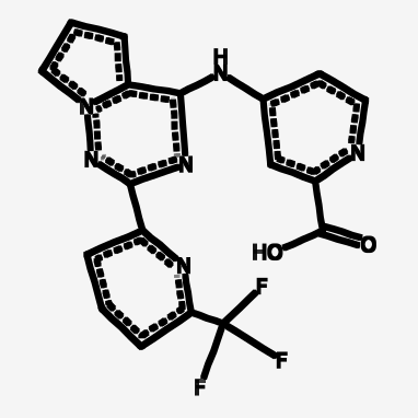 O=C(O)c1cc(Nc2nc(-c3cccc(C(F)(F)F)n3)nn3cccc23)ccn1